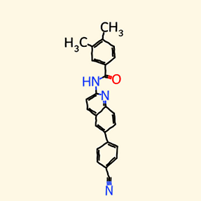 Cc1ccc(C(=O)Nc2ccc3cc(-c4ccc(C#N)cc4)ccc3n2)cc1C